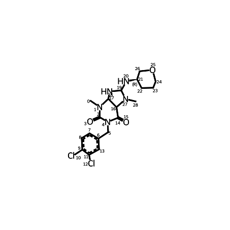 CN1C(=O)N(Cc2ccc(Cl)c(Cl)c2)C(=O)C2C1NC(N[C@@H]1CCCOC1)N2C